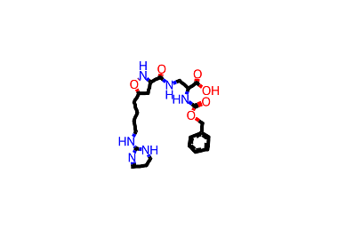 O=C(NC(CNC(=O)C1CC(CCCCNC2N=CCCN2)ON1)C(=O)O)OCc1ccccc1